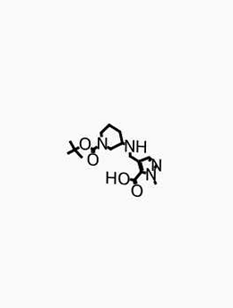 Cn1ncc(CNC2CCCN(C(=O)OC(C)(C)C)C2)c1C(=O)O